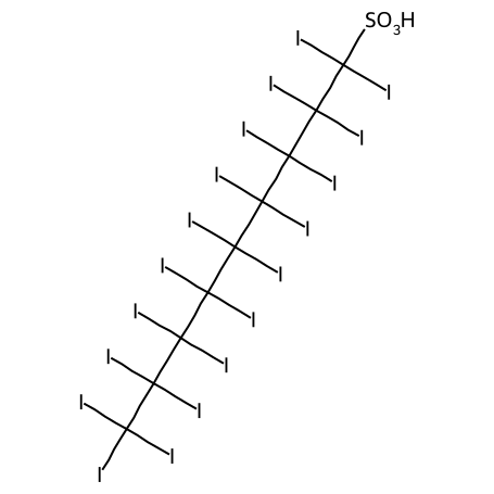 O=S(=O)(O)C(I)(I)C(I)(I)C(I)(I)C(I)(I)C(I)(I)C(I)(I)C(I)(I)C(I)(I)C(I)(I)I